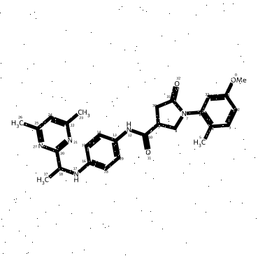 COc1ccc(C)c(N2CC(C(=O)Nc3ccc(NC(C)c4nc(C)cc(C)n4)cc3)CC2=O)c1